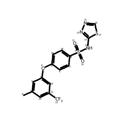 Cc1cc(Oc2ccc(S(=O)(=O)Nc3nncs3)cc2)cc(C(F)(F)F)c1